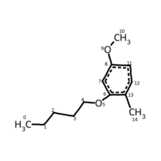 CCCCCOc1cc(OC)ccc1C